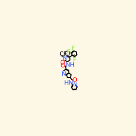 CC1C(c2c(F)ccc(F)c2F)CC(NC(=O)c2cnc3c(c2)CC(C(=O)Nc2ccccn2)C3)C(=O)N1CC(F)(F)F